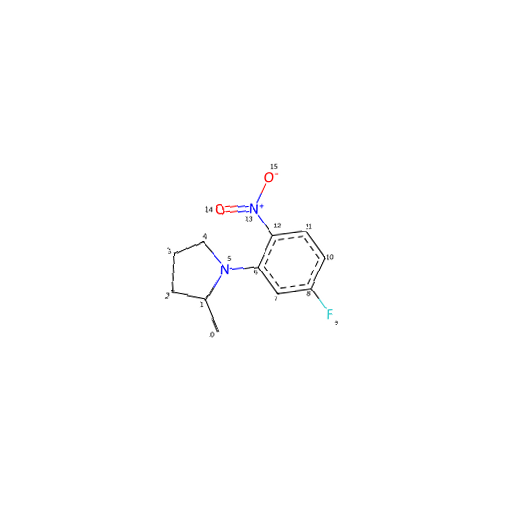 CC1CCCN1c1cc(F)ccc1[N+](=O)[O-]